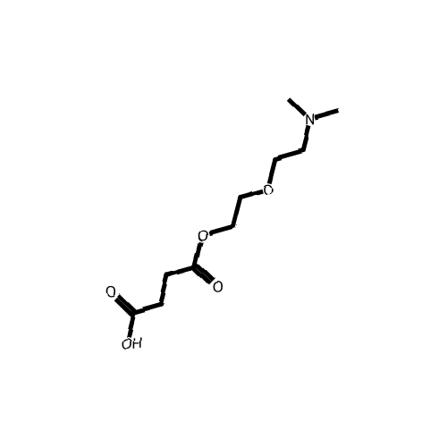 CN(C)CCOCCOC(=O)CCC(=O)O